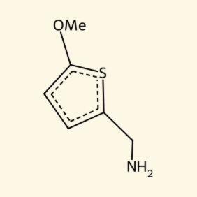 COc1ccc(CN)s1